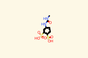 CNC(=O)Nc1ccc(S(=O)(=O)O)c(S(=O)(=O)O)c1